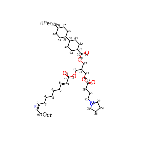 CCCCCCCC/C=C\CCCCCC=CC(=O)OCC(COC(=O)CCCN1CCCC1)COC(=O)C1CCC(C2CCC(CCCCC)CC2)CC1